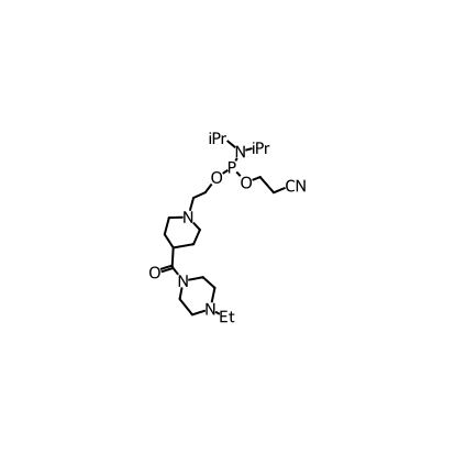 CCN1CCN(C(=O)C2CCN(CCOP(OCCC#N)N(C(C)C)C(C)C)CC2)CC1